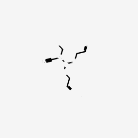 C=CCOP(OCC=C)N(C#N)CC